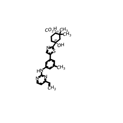 C=Cc1ccnc(Nc2cc(C)cc(-c3cnc([C@@]4(O)CC[C@H](C(=O)O)C(C)(C)C4)s3)c2)n1